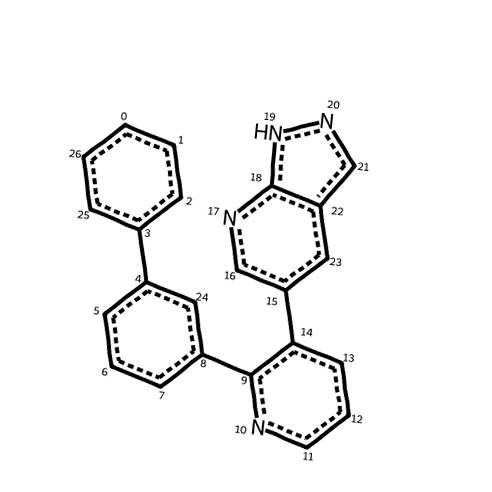 c1ccc(-c2cccc(-c3ncccc3-c3cnc4[nH]ncc4c3)c2)cc1